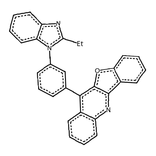 CCc1nc2ccccc2n1-c1cccc(-c2c3ccccc3nc3c2oc2ccccc23)c1